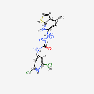 CC(C)c1cc(NNC(=O)Nc2cc(Cl)nc(Cl)c2)nc2sccc12